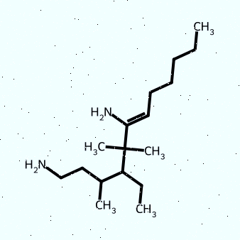 CCCCCC=C(N)C(C)(C)C(CC)C(C)CCN